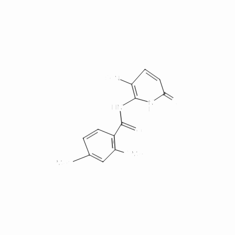 COc1cc(SC)ccc1C(=O)Nc1[nH]c(=O)ccc1[N+](=O)[O-]